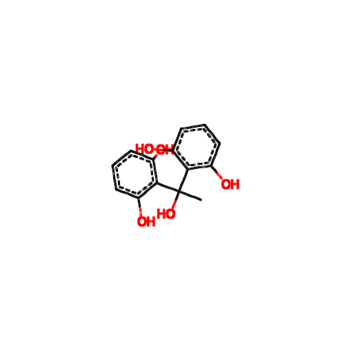 CC(O)(c1c(O)cccc1O)c1c(O)cccc1O